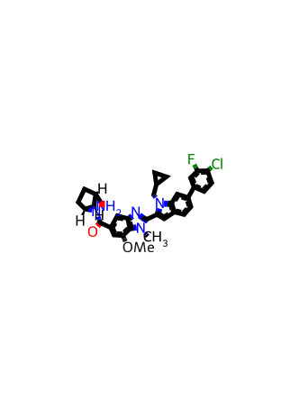 COc1cc(C(=O)N2C[C@H]3CC[C@@H]2[C@@H]3N)cc2nc(-c3cc4ccc(-c5ccc(Cl)c(F)c5)cc4n3CC3CC3)n(C)c12